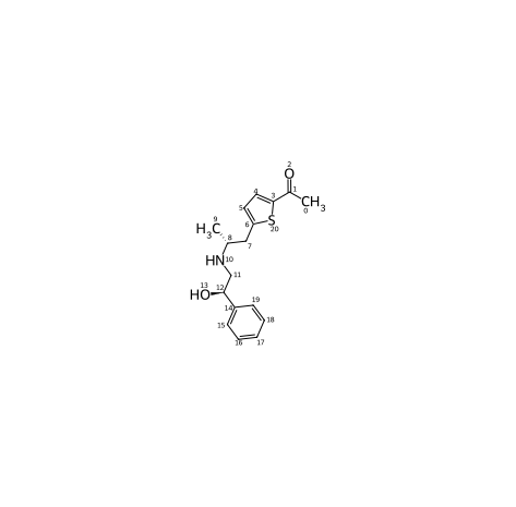 CC(=O)c1ccc(C[C@@H](C)NC[C@H](O)c2ccccc2)s1